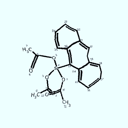 CC(=O)O[Si](OC(C)=O)(OC(C)=O)c1c2ccccc2cc2ccccc12